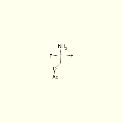 CC(=O)OCC(N)(F)F